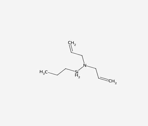 C=CCN(CC=C)[SiH2]CCC